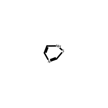 [C]1=NC=CNS1